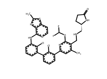 Cc1nc2c(Nc3cccc(-c4cccc(-c5cc(C)c(CNC[C@@H]6CCC(=O)N6)c(OC(F)F)n5)c4Cl)c3Cl)nccc2s1